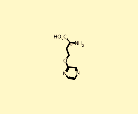 N[C@@H](CCOc1cnccn1)C(=O)O